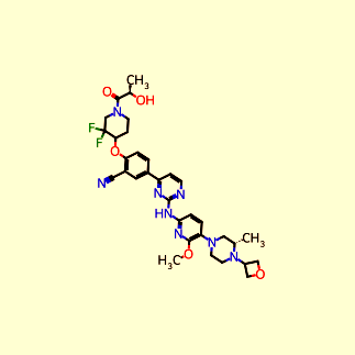 COc1nc(Nc2nccc(-c3ccc(OC4CCN(C(=O)[C@@H](C)O)CC4(F)F)c(C#N)c3)n2)ccc1N1CCN(C2COC2)[C@@H](C)C1